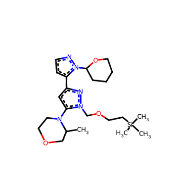 CC1COCCN1c1cc(-c2ccnn2C2CCCCO2)nn1COCC[Si](C)(C)C